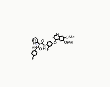 COc1cc2ncnc(Oc3ccc(NC(=O)/C(C(=O)Nc4ccc(F)cc4)=C4\CCCCN4)c(F)c3)c2cc1OC